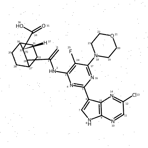 C=C(Nc1nc(-c2c[nH]c3ncc(Cl)nc23)nc(N2CCOCC2)c1F)C1C2CCC(CC2)[C@@H]1C(=O)O